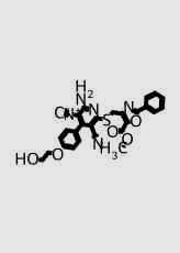 [C-]#[N+]c1c(N)nc(SCc2nc(-c3ccccc3)oc2C(=O)OC)c(C#N)c1-c1ccc(OCCO)cc1